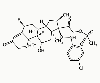 C[C@@H]1C[C@H]2[C@@H]3C[C@H](F)C4=CC(=O)C=C[C@]4(C)[C@@]3(F)[C@@H](O)C[C@]2(C)[C@@]1(ONc1ccc(Cl)cc1)C(=O)COS(C)(=O)=O